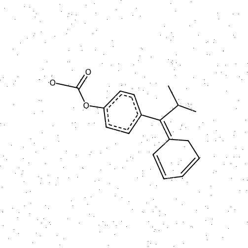 CC(C)C(=C1C=C[C]=CC1)c1ccc(OC([O])=O)cc1